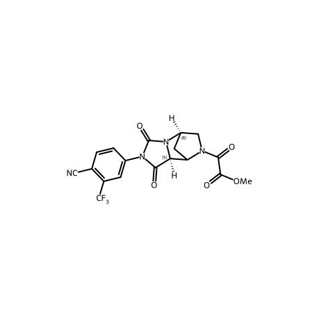 COC(=O)C(=O)N1C[C@H]2CC1[C@H]1C(=O)N(c3ccc(C#N)c(C(F)(F)F)c3)C(=O)N21